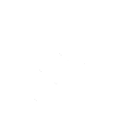 CC[C@@H]1C[C@H](NC(=O)OC(C)(C)C)CN(c2ccncc2N)C1